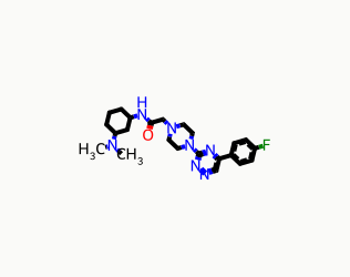 CN(C)C1CCCC(NC(=O)CN2CCN(c3nncc(-c4ccc(F)cc4)n3)CC2)C1